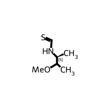 COC(C)[C@H](C)NC=S